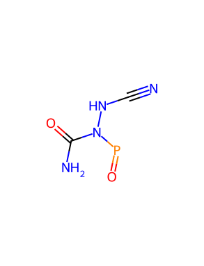 N#CNN(P=O)C(N)=O